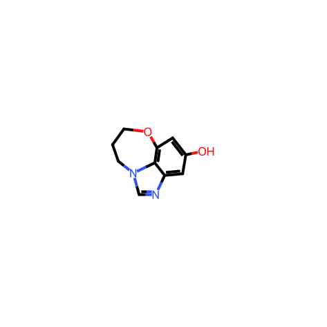 Oc1cc2c3c(c1)ncn3CCCO2